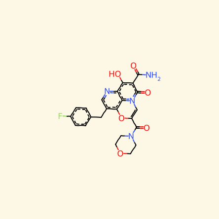 NC(=O)c1c(O)c2ncc(Cc3ccc(F)cc3)c3c2n(c1=O)C=C(C(=O)N1CCOCC1)O3